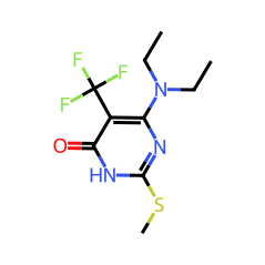 CCN(CC)c1nc(SC)[nH]c(=O)c1C(F)(F)F